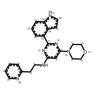 c1ccc(CCNc2cc(N3CCOCC3)nc(-c3cccc4[nH]ccc34)n2)nc1